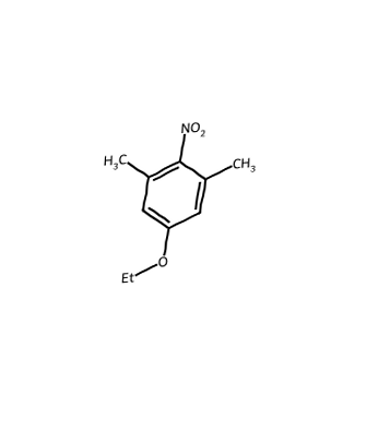 CCOc1cc(C)c([N+](=O)[O-])c(C)c1